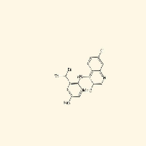 CCC(CC)c1cc(O)ccc1Nc1c(OC)cnc2cc(Cl)ccc12